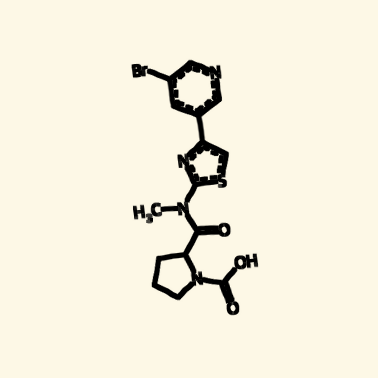 CN(C(=O)C1CCCN1C(=O)O)c1nc(-c2cncc(Br)c2)cs1